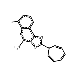 Cc1cccc2c1nc(N)n1nc(N3C=CC=CC=C3)nc21